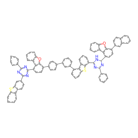 c1ccc(C2=NC(c3ccc(-c4ccc5ccccc5c4)c4oc5ccccc5c34)NC(c3cccc4c3sc3cccc(-c5cccc(-c6ccc(-c7ccc(-c8nc(-c9ccccc9)nc(-c9ccc%10c(c9)sc9ccccc9%10)n8)c8c7oc7ccccc78)cc6)c5)c34)=N2)cc1